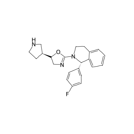 Fc1ccc([C@H]2c3ccccc3CCN2C2=NCC([C@H]3CCNC3)O2)cc1